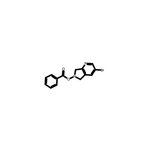 O=C(ON1Cc2cc(Br)cnc2C1)c1ccccc1